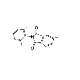 Cc1ccc2c(c1)C(=O)N(c1c(C)cccc1C)C2=O